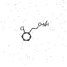 CNOCCc1ccccc1Cl